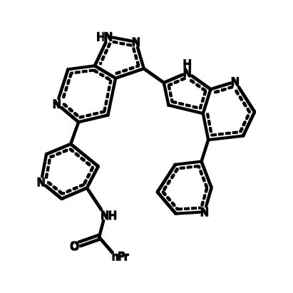 CCCC(=O)Nc1cncc(-c2cc3c(-c4cc5c(-c6cccnc6)ccnc5[nH]4)n[nH]c3cn2)c1